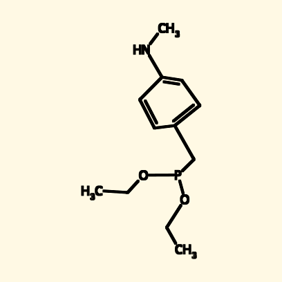 CCOP(Cc1ccc(NC)cc1)OCC